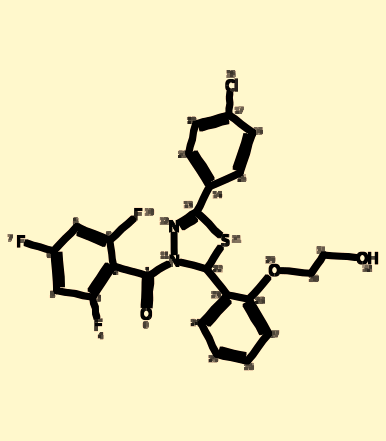 O=C(c1c(F)cc(F)cc1F)N1N=C(c2ccc(Cl)cc2)SC1c1ccccc1OCCO